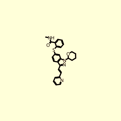 CNC(=O)c1ccccc1Sc1ccc2c(/C=C/c3ccccn3)nn(C3CCCCO3)c2c1